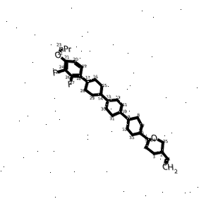 C=CC1CCC(C2CCC(C3CCC(C4CCC(c5ccc(OCCC)c(F)c5F)CC4)CC3)CC2)OC1